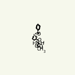 CS(=O)(=O)NNC(=O)C1=CC=CN(CC(=O)c2ccccc2)C1